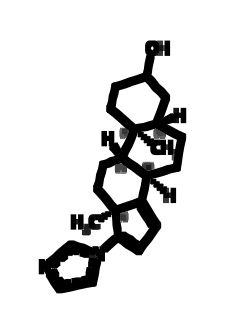 C[C@]12CC[C@H]3[C@@H](CC[C@H]4CC(O)CC[C@@]43C)C1=CC=C2n1ccnc1